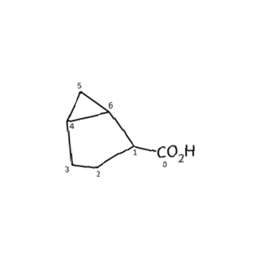 O=C(O)C1CCC2CC21